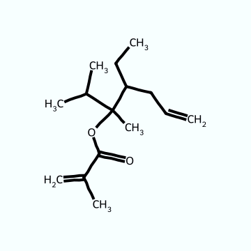 C=CCC(CC)C(C)(OC(=O)C(=C)C)C(C)C